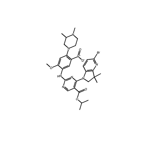 COc1cc(N2CCN(C)C(C)C2)c([N+](=O)[O-])cc1Nc1ncc(C(=O)OC(C)C)c(N2CC(C)(C)c3nc(Br)ccc32)n1